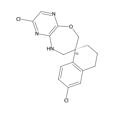 Clc1ccc2c(c1)CCC[C@@]21CNc2nc(Cl)cnc2OC1